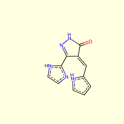 O=C1NN=C(c2ncc[nH]2)/C1=C\c1ccc[nH]1